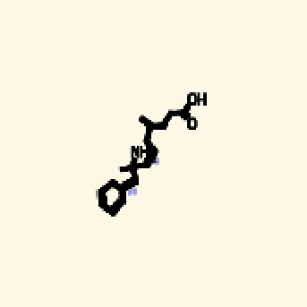 CC(C/C=C\C(C)(N)/C=C1/C=CC=CC1)CCC(=O)O